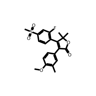 COc1ccc(C2=C(c3ccc(S(C)(=O)=O)cc3F)C(C)(C)OC2=O)cc1C